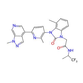 Cc1nc(-c2cncc3c2cnn3C)ccc1-n1c(=O)n(CC(=O)NC(C)C(F)(F)F)c2cccc(C)c21